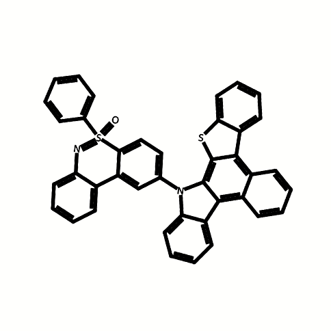 O=S1(c2ccccc2)=Nc2ccccc2-c2cc(-n3c4ccccc4c4c5ccccc5c5c6ccccc6sc5c43)ccc21